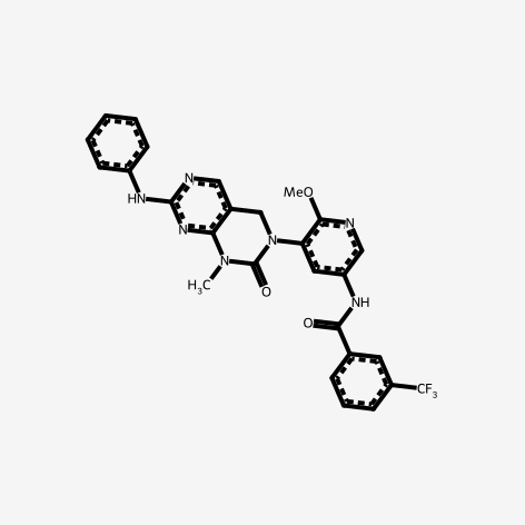 COc1ncc(NC(=O)c2cccc(C(F)(F)F)c2)cc1N1Cc2cnc(Nc3ccccc3)nc2N(C)C1=O